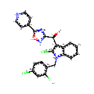 O=C(c1noc(-c2ccncc2)n1)c1c(Cl)n(Cc2ccc(Cl)cc2Cl)c2ccccc12